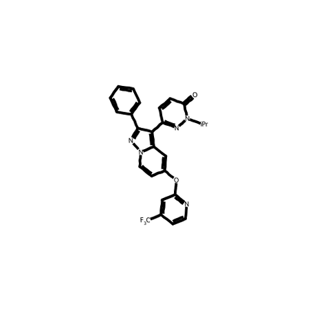 CC(C)n1nc(-c2c(-c3ccccc3)nn3ccc(Oc4cc(C(F)(F)F)ccn4)cc23)ccc1=O